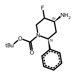 CC(C)(C)OC(=O)N1CC(F)[C@@H](N)C[C@H]1c1ccccc1